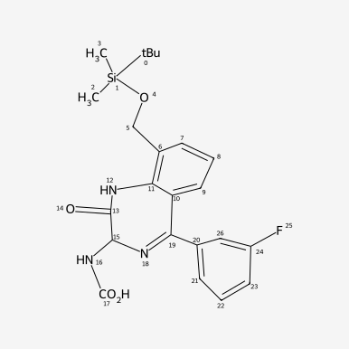 CC(C)(C)[Si](C)(C)OCc1cccc2c1NC(=O)C(NC(=O)O)N=C2c1cccc(F)c1